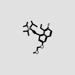 CCc1c(F)ccc2cc(OCOC)cc(C#C[Si](C(C)C)(C(C)C)C(C)C)c12